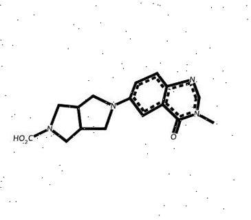 Cn1cnc2ccc(N3CC4CN(C(=O)O)CC4C3)cc2c1=O